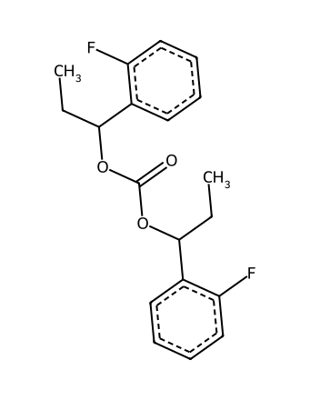 CCC(OC(=O)OC(CC)c1ccccc1F)c1ccccc1F